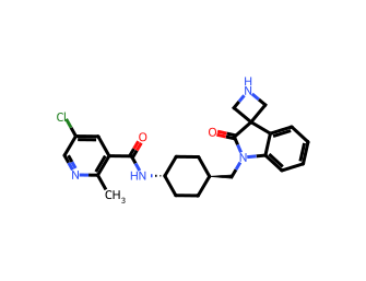 Cc1ncc(Cl)cc1C(=O)N[C@H]1CC[C@H](CN2C(=O)C3(CNC3)c3ccccc32)CC1